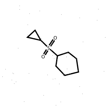 O=S(=O)(C1C[CH]CCC1)C1CC1